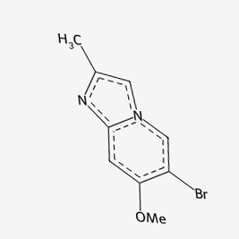 COc1cc2nc(C)cn2cc1Br